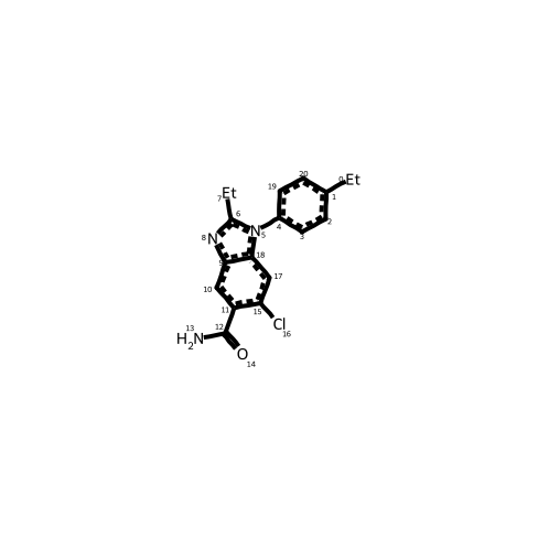 [CH2]Cc1ccc(-n2c(CC)nc3cc(C(N)=O)c(Cl)cc32)cc1